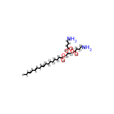 CC/C=C/C/C=C/C/C=C/CCCCCCCC(=O)OCC(COC(=O)CCCN)OC(=O)CCCN